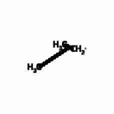 [CH2]CCC(CCC)CCCCCCCCCCCCCCCCCCCCCC